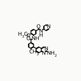 COc1ccc(C(=O)Nc2ccncc2)cc1NC(=O)c1ccc(C)c(-c2ccc3nc(N)ncc3c2)c1